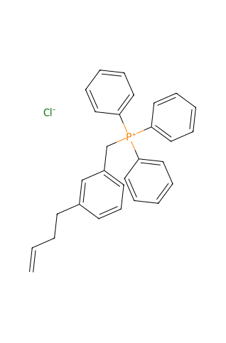 C=CCCc1cccc(C[P+](c2ccccc2)(c2ccccc2)c2ccccc2)c1.[Cl-]